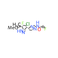 COC[C@@H](C)c1c(F)c(Cl)c(-c2ccc3nc(NC(=O)[C@@H]4C[C@@H]4F)cn3c2)c2cn[nH]c12